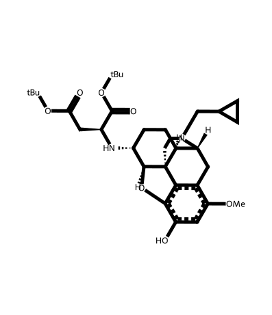 COc1cc(O)c2c3c1C[C@@H]1[C@@H]4CC[C@@H](N[C@@H](CC(=O)OC(C)(C)C)C(=O)OC(C)(C)C)[C@H](O2)[C@]34CCN1CC1CC1